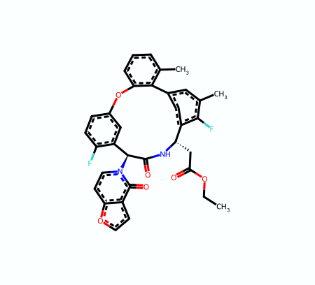 CCOC(=O)C[C@@H]1NC(=O)[C@@H](n2ccc3occc3c2=O)c2cc(ccc2F)Oc2cccc(C)c2-c2cc(C)c(F)c1c2